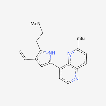 C=Cc1cc(-c2ccnc3ccc(CCCC)nc23)[nH]c1CCNC